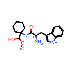 CCOC(O)C1(NC(=O)[C@H](N)Cc2c[nH]c3ccccc23)CCCCC1